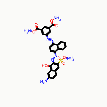 NOC(=O)c1cc(N=Nc2ccc(N=Nc3c(S(=O)(=O)ON)cc4ccc(N)cc4c3O)c3ccccc23)cc(C(=O)ON)c1